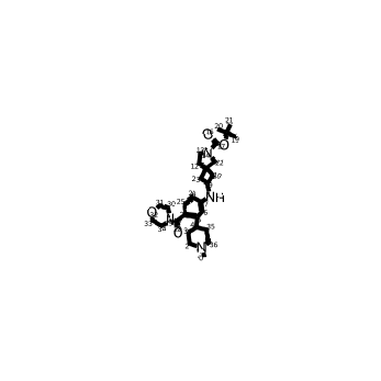 CN1CCC(c2cc(NC3CC4(CCN(C(=O)OC(C)(C)C)C4)C3)ccc2C(=O)N2CCOCC2)CC1